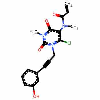 C=CC(=O)N(C)c1c(Cl)n(CC#Cc2cccc(O)c2)c(=O)n(C)c1=O